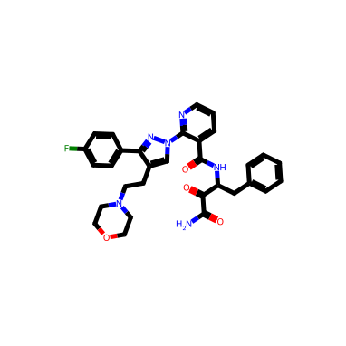 NC(=O)C(=O)C(Cc1ccccc1)NC(=O)c1cccnc1-n1cc(CCN2CCOCC2)c(-c2ccc(F)cc2)n1